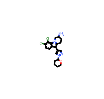 NC1CCc2c(-c3cnn(C4CCCCO4)c3)c3ccc(Cl)c(Cl)c3n2C1